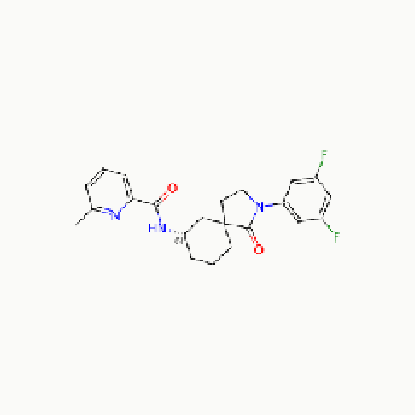 Cc1cccc(C(=O)N[C@H]2CCCC3(CCN(c4cc(F)cc(F)c4)C3=O)C2)n1